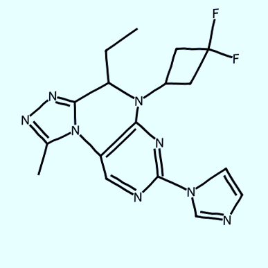 CCC1c2nnc(C)n2-c2cnc(-n3ccnc3)nc2N1C1CC(F)(F)C1